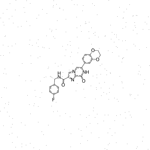 C[C@H](NC(=O)c1cn2cc(-c3ccc4c(c3)OCCO4)[nH]c(=O)c2n1)c1ccc(F)cc1